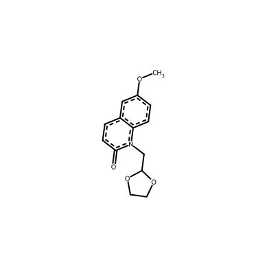 COc1ccc2c(ccc(=O)n2CC2OCCO2)c1